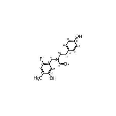 Cc1cc(F)c(CN(C=O)CCc2ccc(O)cc2)cc1O